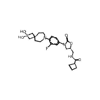 O=C(NC[C@H]1CN(c2ccc(N3CCC4(CC3)CS(O)(O)C4)c(F)c2)C(=O)O1)C1CCC1